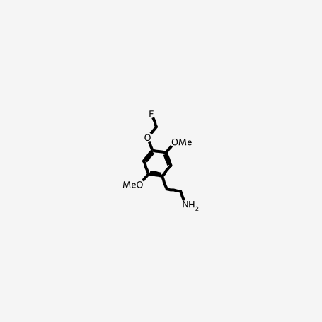 COc1cc(OCF)c(OC)cc1CCN